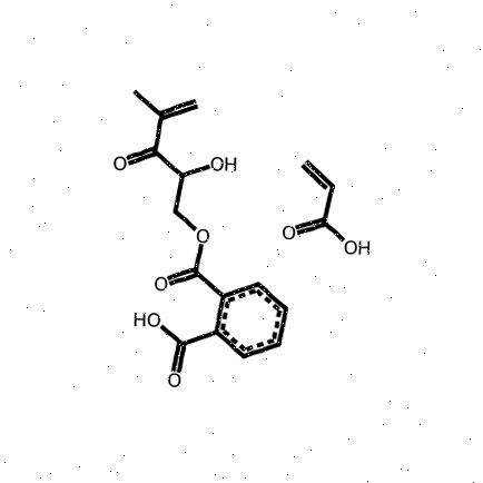 C=C(C)C(=O)C(O)COC(=O)c1ccccc1C(=O)O.C=CC(=O)O